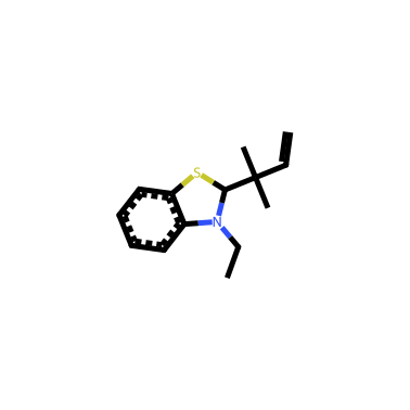 C=CC(C)(C)C1Sc2ccccc2N1CC